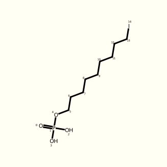 O=P(O)(O)OCCCCCCCCCI